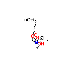 C=C1CCC2(O)C3Cc4ccc(OC(=O)CCCCCCC/C=C\CCCCCCCC)c5c4C2(CCN3CC2CC2)C1O5